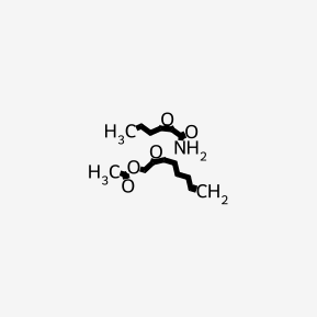 C=CCCCC1OC1COC(C)=O.CCCC1=C(C(N)=O)O1